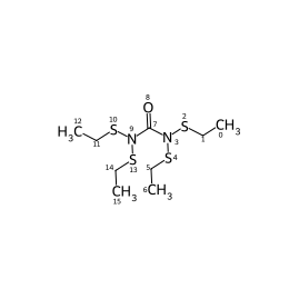 CCSN(SCC)C(=O)N(SCC)SCC